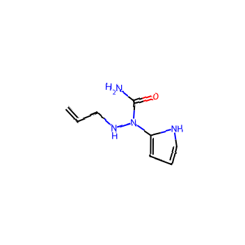 C=CCNN(C(N)=O)c1ccc[nH]1